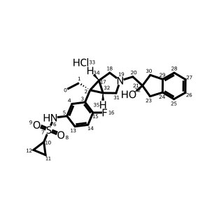 CC[C@]1(c2cc(NS(=O)(=O)C3CC3)ccc2F)[C@@H]2CN(CC3(O)Cc4ccccc4C3)C[C@@H]21.Cl